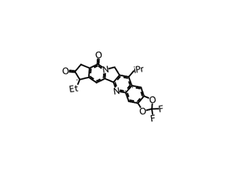 CC[C]1C(=O)Cc2c1cc1n(c2=O)Cc2c-1nc1cc3c(cc1c2C(C)C)OC(F)(F)O3